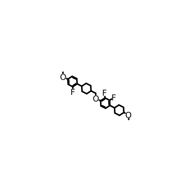 COc1ccc(C2CCC(COc3ccc(C4CCC(OC)CC4)c(F)c3F)CC2)c(F)c1